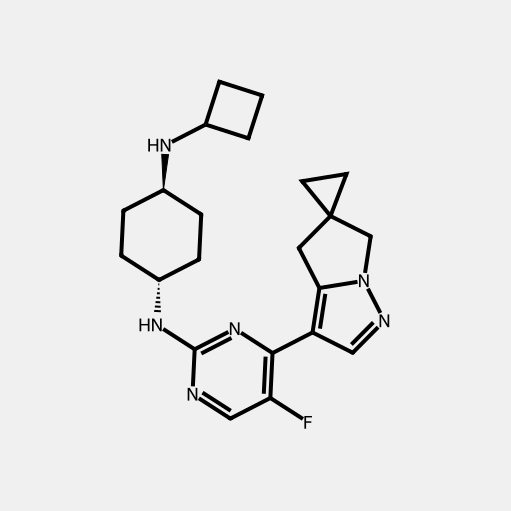 Fc1cnc(N[C@H]2CC[C@H](NC3CCC3)CC2)nc1-c1cnn2c1CC1(CC1)C2